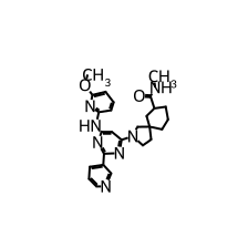 CNC(=O)C1CCCC2(CCN(c3cc(Nc4cccc(OC)n4)nc(-c4cccnc4)n3)C2)C1